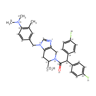 Cc1cc(Cn2cnc3c2CC(C(=O)O)N(C(=O)C(c2ccc(F)cc2)c2ccc(F)cc2)C3)ccc1N(C)C